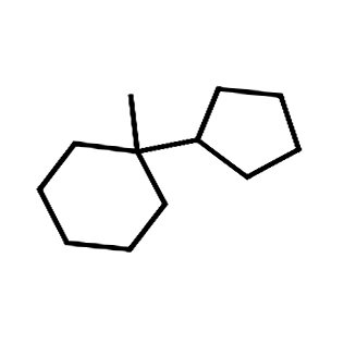 CC1(C2CCCC2)CCCCC1